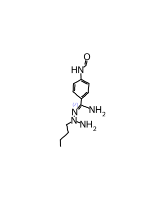 CCCCN(N)/N=C(\N)c1ccc(NC=O)cc1